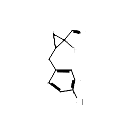 O=CC1(F)CC1Cc1ccc(Cl)cc1